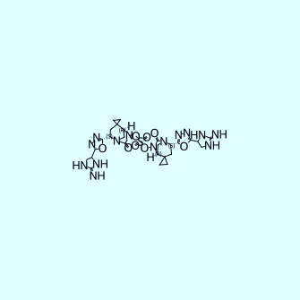 N=C1NCC(c2nnc([C@@H]3CC4(CC4)[C@@H]4CN3C(=O)N4OS(=O)(=O)ON3C(=O)N4C[C@H]3C3(CC3)C[C@H]4c3nnc(C4CNC(=N)N4)o3)o2)N1